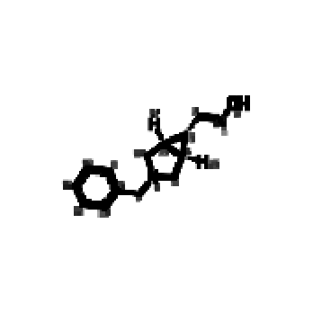 ON=C[C@@H]1[C@H]2CN(Cc3ccccc3)C[C@@H]12